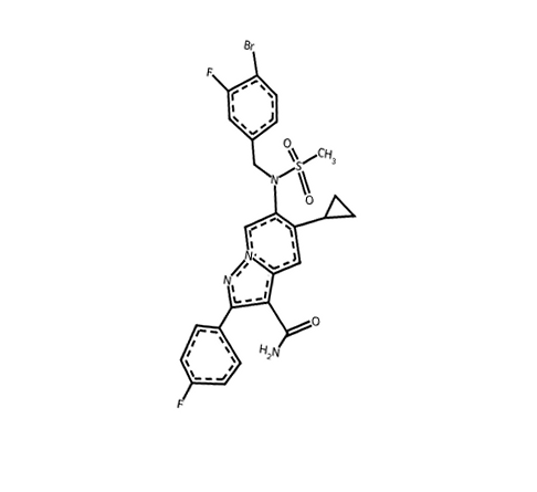 CS(=O)(=O)N(Cc1ccc(Br)c(F)c1)c1cn2nc(-c3ccc(F)cc3)c(C(N)=O)c2cc1C1CC1